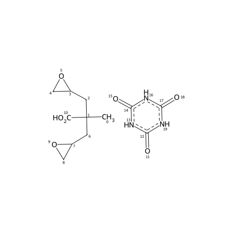 CC(CC1CO1)(CC1CO1)C(=O)O.O=c1[nH]c(=O)[nH]c(=O)[nH]1